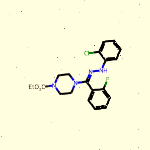 CCOC(=O)N1CCN(C(=NNc2ccccc2Cl)c2ccccc2F)CC1